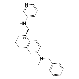 CN(Cc1ccccc1)c1ccc2c(c1)CCC[C@H]2CNc1cccnc1